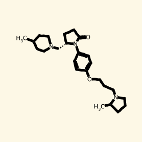 CC1CCN(C[C@@H]2CCC(=O)N2c2ccc(OCCCN3CCCC3C)cc2)CC1